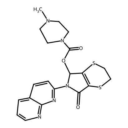 CN1CCN(C(=O)OC2C3=C(SCCS3)C(=O)N2c2ccc3cccnc3n2)CC1